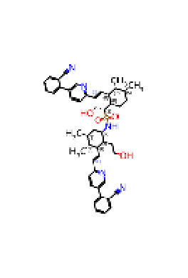 C[C@H]1[C@H](/C=C/c2ccc(-c3ccccc3C#N)cn2)[C@H]([C@@H](CO)S(=O)(=O)N[C@@H]2C[C@H](C)[C@@H](C)[C@H](/C=C/c3ccc(-c4ccccc4C#N)cn3)[C@@H]2CCO)CC[C@@H]1C